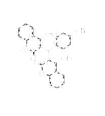 N#Cc1ccc(C(c2c(O)c3ccccc3oc2=O)c2c(O)c3ccccc3oc2=O)cc1